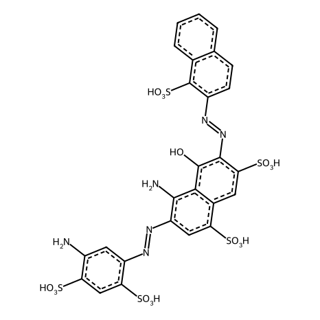 Nc1cc(/N=N/c2cc(S(=O)(=O)O)c3cc(S(=O)(=O)O)c(/N=N/c4ccc5ccccc5c4S(=O)(=O)O)c(O)c3c2N)c(S(=O)(=O)O)cc1S(=O)(=O)O